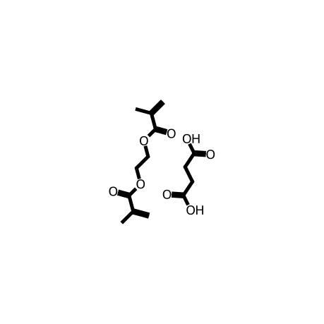 C=C(C)C(=O)OCCOC(=O)C(=C)C.O=C(O)CCC(=O)O